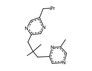 Cc1cncc(CC(C)(C)Cc2cnc(CC(C)C)cn2)n1